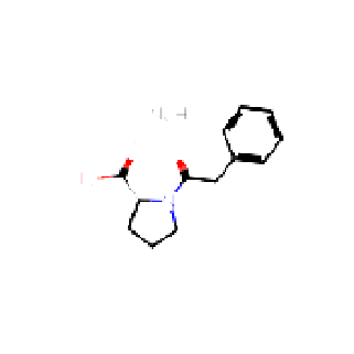 O=C(O)[C@@H]1CCCN1C(=O)Cc1ccccc1.[NaH]